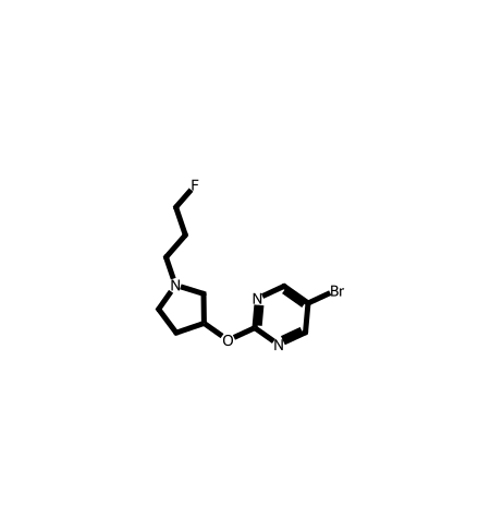 FCCCN1CCC(Oc2ncc(Br)cn2)C1